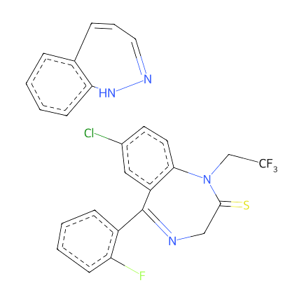 C1=Cc2ccccc2NN=C1.Fc1ccccc1C1=NCC(=S)N(CC(F)(F)F)c2ccc(Cl)cc21